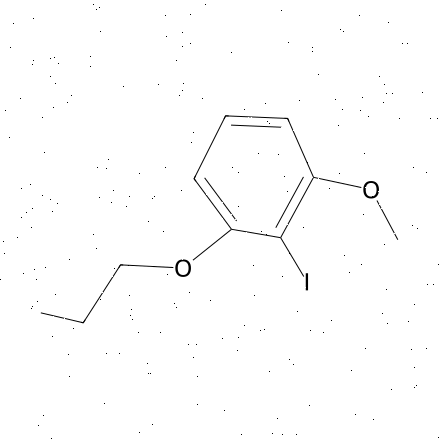 CCCOc1cccc(OC)c1I